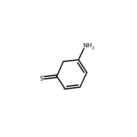 NC1=CC=[C]C(=S)C1